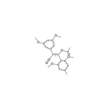 COc1cc(OC)cc(/C(C#N)=C(\OC(C)=O)c2c(OC)cc(C)cc2OC)c1